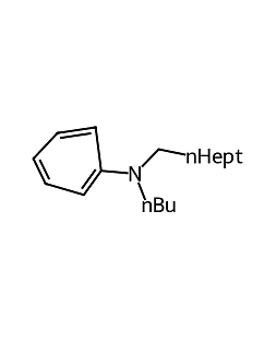 CCCCCCCCN(CCCC)c1ccccc1